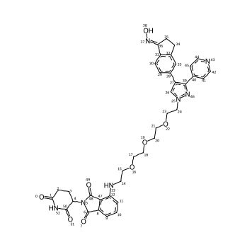 O=C1CCC(N2C(=O)c3cccc(NCCOCCOCCOCCn4cc(-c5ccc6c(c5)CC/C6=N\O)c(-c5ccncc5)n4)c3C2=O)C(=O)N1